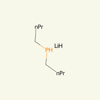 CCCCPCCCC.[LiH]